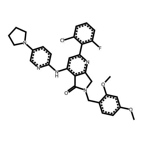 COc1ccc(CN2Cc3nc(-c4c(F)cccc4Cl)cc(Nc4ccc(N5CCCC5)cn4)c3C2=O)c(OC)c1